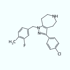 Cc1ccc(Cn2nc(-c3ccc(Cl)cc3)c3c2CCNCC3)cc1F